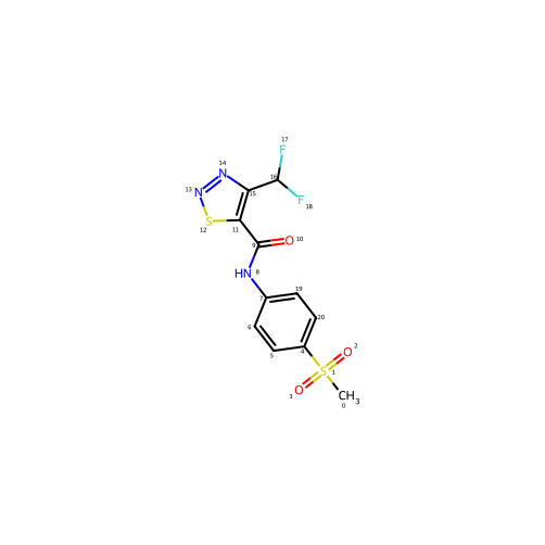 CS(=O)(=O)c1ccc(NC(=O)c2snnc2C(F)F)cc1